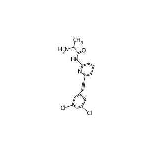 CC(N)C(=O)Nc1cccc(C#Cc2cc(Cl)cc(Cl)c2)n1